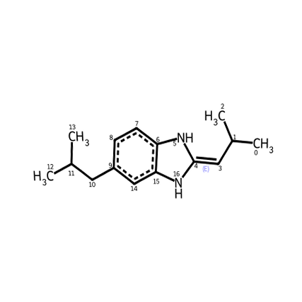 CC(C)/C=C1\Nc2ccc(CC(C)C)cc2N1